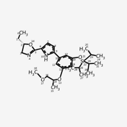 CC[C@H]1CN=C(c2ccc(-c3cc(O[C@@H](C)COC)cc(O[Si](C(C)C)(C(C)C)C(C)C)c3)[nH]2)O1